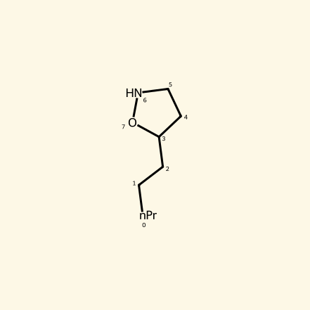 CCCCCC1CCNO1